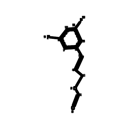 O=[C]OC/C=C/c1cc(F)cc(F)c1